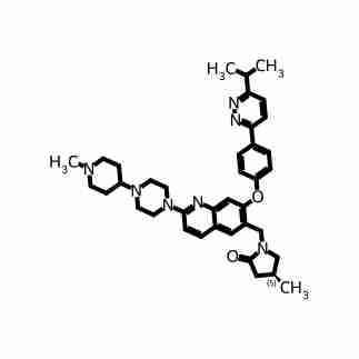 CC(C)c1ccc(-c2ccc(Oc3cc4nc(N5CCN(C6CCN(C)CC6)CC5)ccc4cc3CN3C[C@@H](C)CC3=O)cc2)nn1